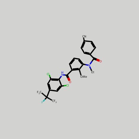 CCN(C(=O)c1ccc(C#N)cc1)c1cccc(C(=O)Nc2c(Cl)cc(C(F)(C(F)(F)F)C(F)(F)F)cc2Cl)c1OC